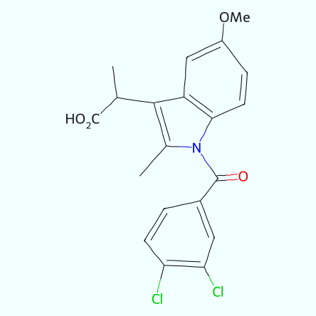 COc1ccc2c(c1)c(C(C)C(=O)O)c(C)n2C(=O)c1ccc(Cl)c(Cl)c1